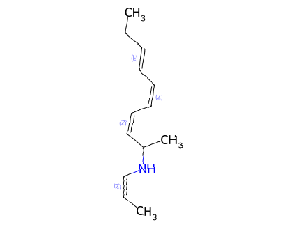 C/C=C\NC(C)\C=C/C=C\C=C\CC